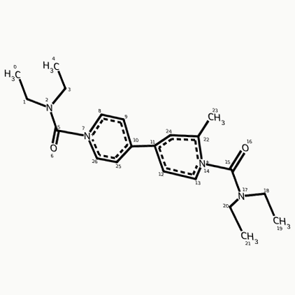 CCN(CC)C(=O)[n+]1ccc(-c2cc[n+](C(=O)N(CC)CC)c(C)c2)cc1